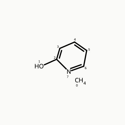 C.Oc1ccccn1